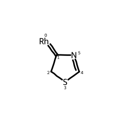 [Rh]=[C]1CSC=N1